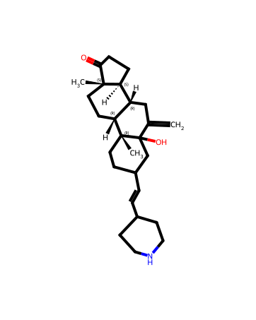 C=C1C[C@@H]2[C@@H](CC[C@]3(C)C(=O)CC[C@@H]23)[C@@]2(C)CCC(C=CC3CCNCC3)CC12O